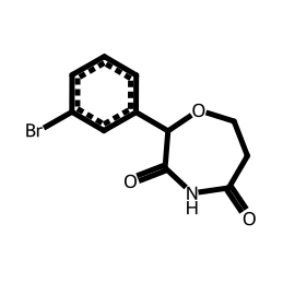 O=C1CCOC(c2cccc(Br)c2)C(=O)N1